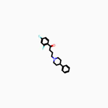 O=C(CCCN1CCC(c2ccccc2)CC1)c1ccc(F)cc1F